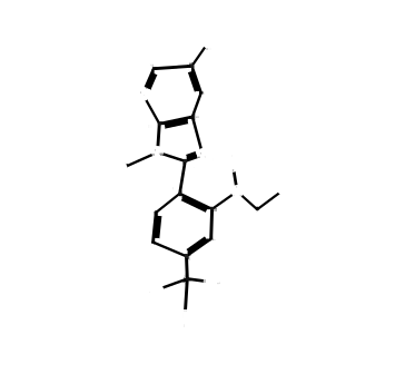 CC[S+]([O-])c1cc(C(F)(F)F)ccc1-c1nc2cc(C)cnc2n1C